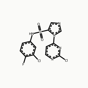 O=S(=O)(Nc1ccc(F)c(Cl)c1)c1cncn1-c1ccnc(Cl)n1